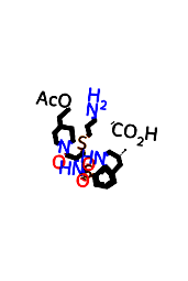 CC(=O)O.CC(=O)OCCC1CCN(C(=O)C(CSCCCN)NS(=O)(=O)c2cccc3c2NC[C@H](C)C3)CC1